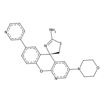 NC1=N[C@@]2(CS1)c1cc(-c3cccnc3)ccc1Oc1ncc(N3CCOCC3)cc12